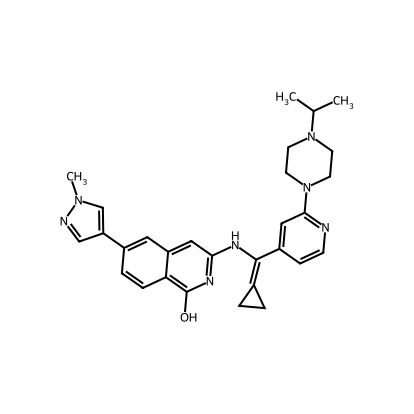 CC(C)N1CCN(c2cc(C(Nc3cc4cc(-c5cnn(C)c5)ccc4c(O)n3)=C3CC3)ccn2)CC1